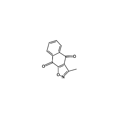 Cc1noc2c1C(=O)c1ccccc1C2=O